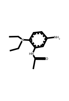 CCN(CC)c1ccc(N)cc1NC(C)=O